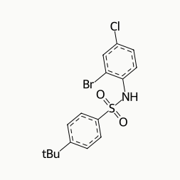 CC(C)(C)c1ccc(S(=O)(=O)Nc2ccc(Cl)cc2Br)cc1